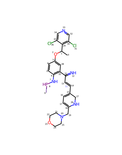 CC(Oc1ccc(NPI)c(C(=N)/C=C/C2=CC=C(CN3CCOCC3)NC2)c1)c1c(Cl)cncc1Cl